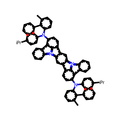 Cc1cccc(N(c2ccc(C(C)C)cc2)c2ccc3c4cc5c(cc4n4c6ccccc6c2c34)c2ccc(N(c3ccc(C(C)C)cc3)c3cccc(C)c3-c3ccccc3)c3c4ccccc4n5c23)c1-c1ccccc1